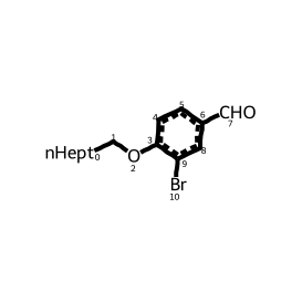 CCCCCCCCOc1ccc(C=O)cc1Br